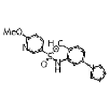 COc1ccc(S(=O)(=O)Nc2cc(-n3cccc3)ccc2C)cn1